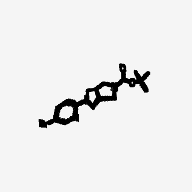 CC(C)(C)OC(=O)N1CC2CN(c3ccc(Br)cn3)CC2C1